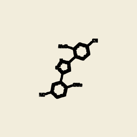 COc1cc(C#N)ccc1-c1cc(-c2cc(C#N)ccc2OC)on1